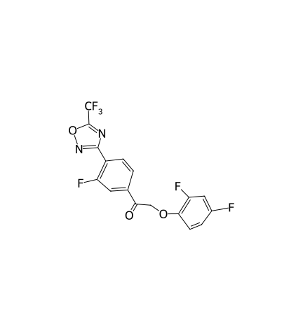 O=C(COc1ccc(F)cc1F)c1ccc(-c2noc(C(F)(F)F)n2)c(F)c1